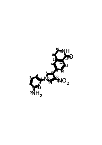 Nc1cccc(-n2cc(-c3ccc4c(c3)CCNC4=O)c([N+](=O)[O-])n2)n1